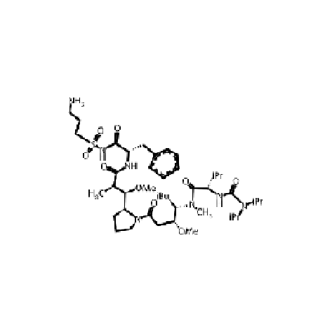 CC[C@H](C)[C@@H]([C@@H](CC(=O)N1CCC[C@H]1[C@H](OC)[C@@H](C)C(=O)N[C@@H](Cc1ccccc1)C(=O)NS(=O)(=O)CCCN)OC)N(C)C(=O)[C@@H](NC(=O)N(C(C)C)C(C)C)C(C)C